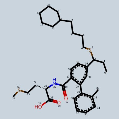 CCC(SCCCCC1CCCCC1)c1ccc(C(=O)N[C@@H](CCSC)C(=O)O)c(-c2ccccc2C)c1